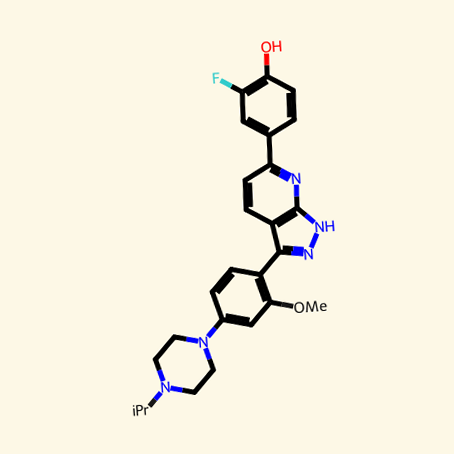 COc1cc(N2CCN(C(C)C)CC2)ccc1-c1n[nH]c2nc(-c3ccc(O)c(F)c3)ccc12